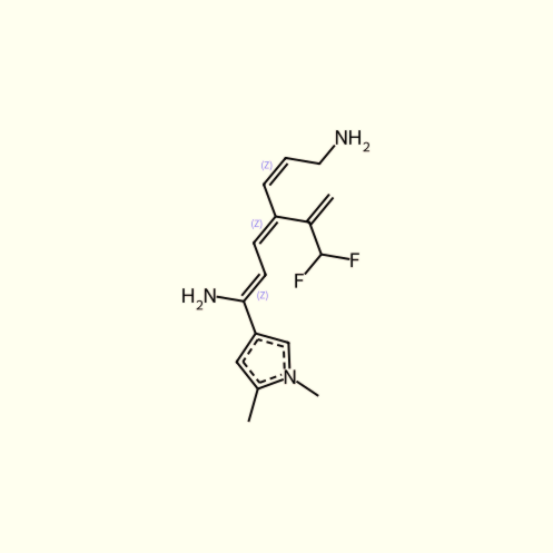 C=C(C(/C=C\CN)=C\C=C(/N)c1cc(C)n(C)c1)C(F)F